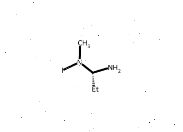 CC[C@@H](N)N(C)I